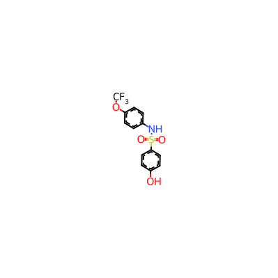 O=S(=O)(Nc1ccc(OC(F)(F)F)cc1)c1ccc(O)cc1